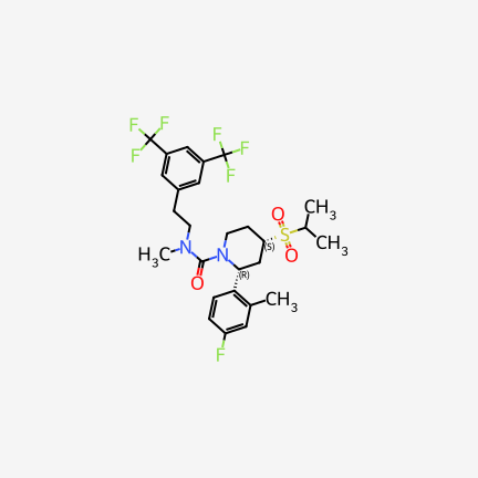 Cc1cc(F)ccc1[C@H]1C[C@@H](S(=O)(=O)C(C)C)CCN1C(=O)N(C)CCc1cc(C(F)(F)F)cc(C(F)(F)F)c1